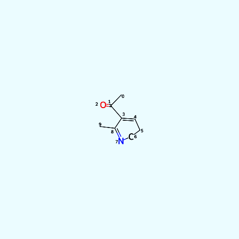 CC(=O)C1=CCCN=C1C